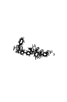 CN(Cc1ccc(-c2cccc(C3(c4nc5c(c(=O)[nH]4)CN(C(=O)[C@H](O)c4cccc(C(F)(F)F)c4)CCC5)CC3)c2)cc1)C(=O)NC1CCCCC1